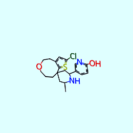 CC1CC2(CCCOCCc3cc(Cl)sc32)CC(c2ccc(O)nc2)N1